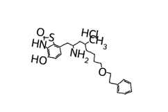 CC(CCCCOCCc1ccccc1)CC(N)Cc1ccc(O)c2[nH]c(=O)sc12.Cl